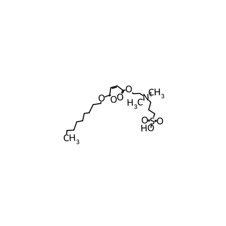 CCCCCCCCCOC(=O)/C=C\C(=O)OCC[N+](C)(C)CCCS(=O)(=O)O